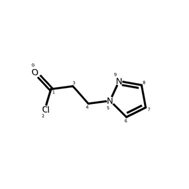 O=C(Cl)CCn1cccn1